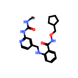 CC(C)NC(=O)Nc1cc(CNc2ccccc2C(=O)NOCC2CCCC2)ccn1